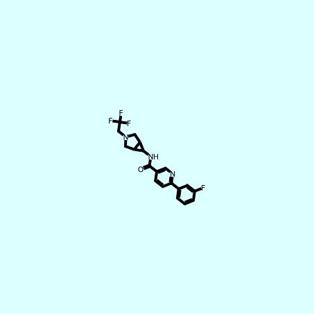 O=C(NC1C2CN(CC(F)(F)F)CC21)c1ccc(-c2cccc(F)c2)nc1